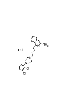 Cl.Nc1cc2ccccc2c(CCCCN2CCN(c3cccc(Cl)c3Cl)CC2)n1